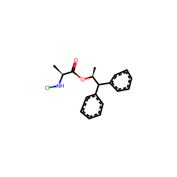 C[C@H](NCl)C(=O)O[C@@H](C)C(c1ccccc1)c1ccccc1